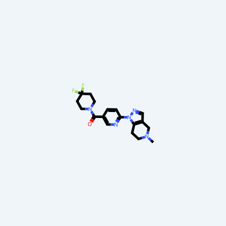 CN1CCc2c(cnn2-c2ccc(C(=O)N3CCC(F)(F)CC3)cn2)C1